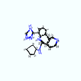 c1cc(-c2nnc[nH]2)c2nc(NC3CCCC3)c3ccncc3c2c1